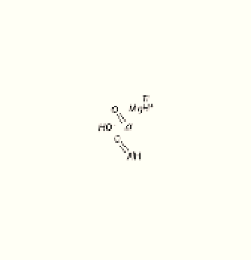 [MgH+].[OH-].[O]=[AlH].[O]=[Zr].[Ti]